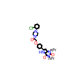 CCCn1c(=O)c2[nH]c(-c3ccc(OCC(=O)N4CCN(c5ccccc5Cl)CC4)cc3)cc2n(CCC)c1=O